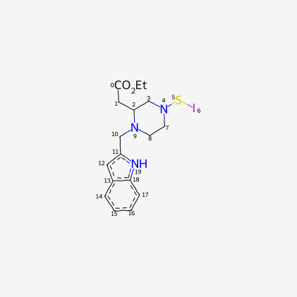 CCOC(=O)CC1CN(SI)CCN1Cc1cc2ccccc2[nH]1